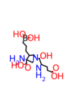 N[C@@H](CCC(=O)O)C(O)N1CC(CCCB(O)O)[C@](N)(C(=O)O)C1